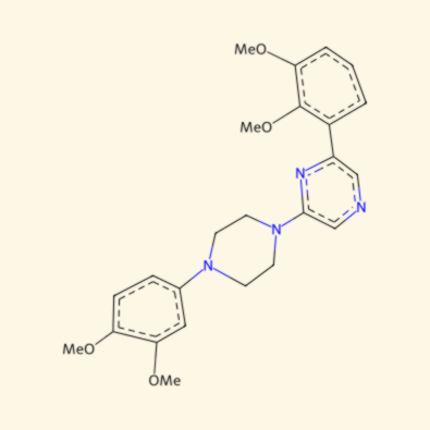 COc1ccc(N2CCN(c3cncc(-c4cccc(OC)c4OC)n3)CC2)cc1OC